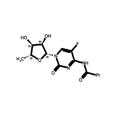 CC(C)C(=O)Nc1nc(=O)n([C@@H]2O[C@H](C)[C@@H](O)[C@H]2O)cc1F